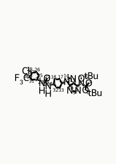 CC(C)(C)OC(=O)N(OC(C)(C)C)c1ncnc2c1ncn2-c1ccc(NC(=O)Nc2ccc(Cl)c(C(F)(F)F)c2)cc1